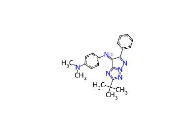 CN(C)c1ccc(/N=C2/C(c3ccccc3)=Nn3nc(C(C)(C)C)nc32)cc1